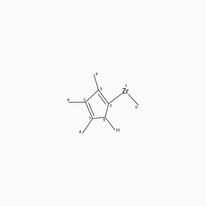 [CH3][Zr][C]1=C(C)C(C)=C(C)C1C